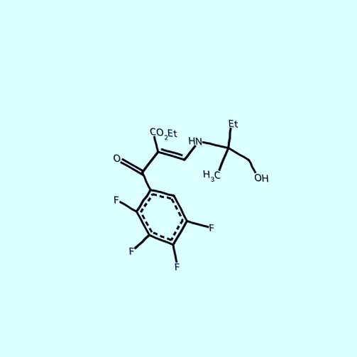 CCOC(=O)C(=CNC(C)(CC)CO)C(=O)c1cc(F)c(F)c(F)c1F